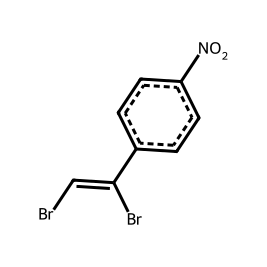 O=[N+]([O-])c1ccc(C(Br)=CBr)cc1